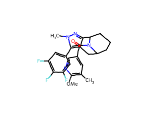 COc1ncc(C(=O)N2C3CCCC2c2nn(C)c(-c4cc(F)c(F)c(F)c4)c2C3)cc1C